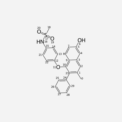 Cc1cc2cc(O)ccc2c(Oc2ccc(NS(C)(=O)=O)cc2)c1-c1ccccc1